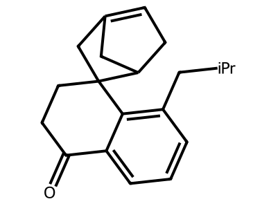 CC(C)Cc1cccc2c1C1(CCC2=O)CC2=CCC1C2